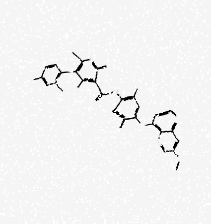 COc1cnc2c(Oc3cc(F)c(NC(=O)c4c(C)nc(C)c(-c5ccc(F)cc5C)c4O)cc3Cl)ccnc2c1